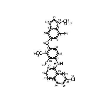 Cc1c(Oc2cc(F)c3c(c2)ncn3C)ccc(Nc2ncnc3ccc(Cl)nc23)c1F